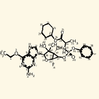 CCOc1nc(N)nc2c1ncn2[C@@H]1O[C@]2(F)C(OP(=O)(NC(C)C(=O)OC3CCCCC3)Oc3ccccc3)[C@]2(O)[C@@]1(C)O